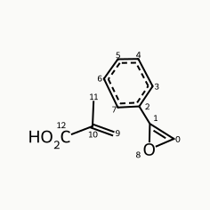 C1=C(c2ccccc2)O1.C=C(C)C(=O)O